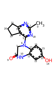 Cc1nc2c(c(N3CC(=O)Nc4cc(O)ccc43)n1)CCC2